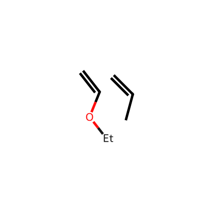 C=CC.C=COCC